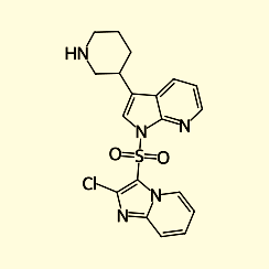 O=S(=O)(c1c(Cl)nc2ccccn12)n1cc(C2CCCNC2)c2cccnc21